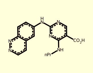 CCCNc1nc(Nc2ccc3nnccc3c2)ncc1C(=O)O